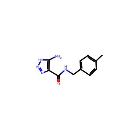 Cc1ccc(CNC(=O)c2nn[nH]c2N)cc1